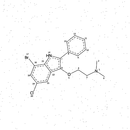 CN(C)CCOc1c(-c2ccccc2)[nH]c2c(Br)cc(Cl)cc12